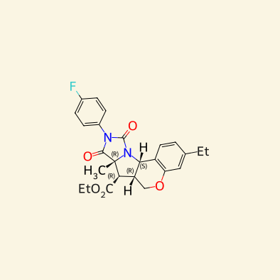 CCOC(=O)[C@@H]1[C@H]2COc3cc(CC)ccc3[C@H]2N2C(=O)N(c3ccc(F)cc3)C(=O)[C@@]12C